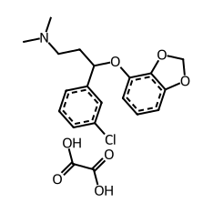 CN(C)CCC(Oc1cccc2c1OCO2)c1cccc(Cl)c1.O=C(O)C(=O)O